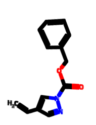 C=Cc1cnn(C(=O)OCc2ccccc2)c1